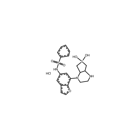 Cl.O=S(=O)(Nc1cc(N2CCNC3CS(O)(O)CC32)c2occc2c1)c1ccccc1